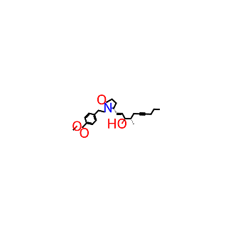 CCCC#CC[C@H](C)[C@@H](O)C=C[C@H]1CCC(=O)N1CCc1ccc(C(=O)OC)cc1